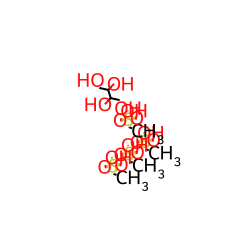 CCS(=O)(=O)O.CCS(=O)(=O)O.CCS(=O)(=O)O.CCS(=O)(=O)O.OCC(O)C(O)CO